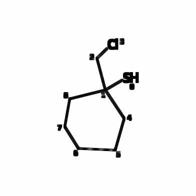 SC1(CCl)CCCCC1